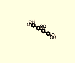 O=C(O)c1ccc(-c2ccc(-c3ccc(-c4ccc(C(=O)O)cc4)cc3[N+](=O)[O-])cc2)cc1